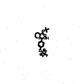 CC(C)(C)OC(=O)N1CCCC[C@H]1[C@@H](O)c1ccc(OS(=O)(=O)C(F)(F)F)cc1